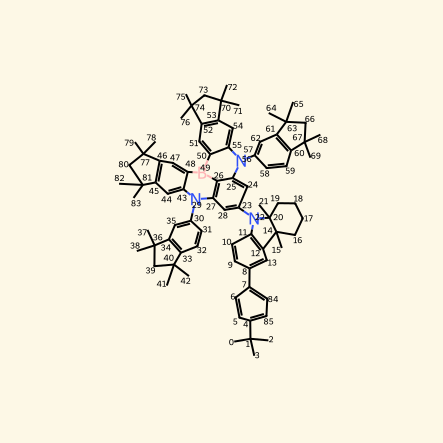 CC(C)(C)c1ccc(-c2ccc3c(c2)C2(C)CCCCC2(C)N3c2cc3c4c(c2)N(c2ccc5c(c2)C(C)(C)CC5(C)C)c2cc5c(cc2B4c2cc4c(cc2N3c2ccc3c(c2)C(C)(C)CC3(C)C)C(C)(C)CC4(C)C)C(C)(C)CC5(C)C)cc1